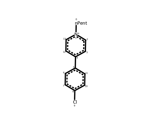 CCCCC[n+]1ccc(-c2ccc(Cl)cc2)cc1